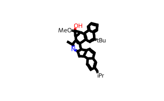 COC1(O)C2C3=C(c4cc(C(C)(C)C)c5ccccc5c4C21)C1C(CC2C4C=CC(CC(C)C)=CC4C=CC21)N=C3C